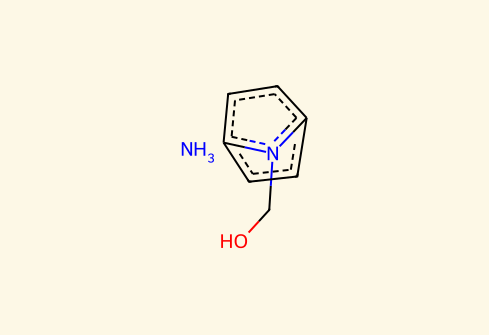 N.OCn1c2ccc1cc2